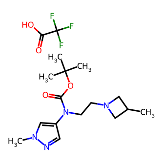 CC1CN(CCN(C(=O)OC(C)(C)C)c2cnn(C)c2)C1.O=C(O)C(F)(F)F